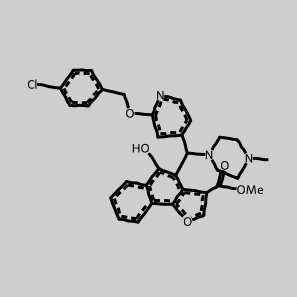 COC(=O)c1coc2c1c(C(c1ccnc(OCc3ccc(Cl)cc3)c1)N1CCN(C)CC1)c(O)c1ccccc12